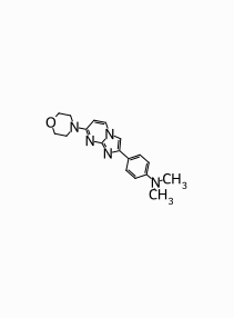 CN(C)c1ccc(-c2cn3ccc(N4CCOCC4)nc3n2)cc1